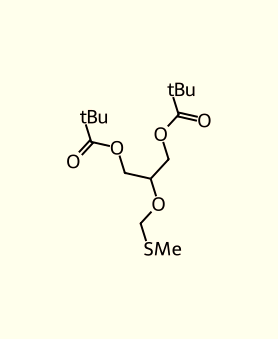 CSCOC(COC(=O)C(C)(C)C)COC(=O)C(C)(C)C